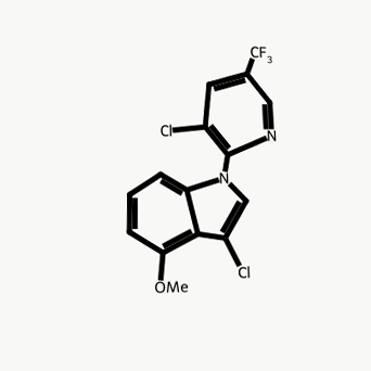 COc1cccc2c1c(Cl)cn2-c1ncc(C(F)(F)F)cc1Cl